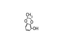 CC1COc2c(O)cccc2O1